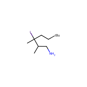 CC(CN)C(C)(I)CCC(C)(C)C